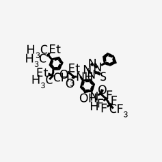 CCC(Oc1ccc(C(C)(C)CC)cc1C(C)(C)CC)C(=O)Nc1cc(O)c(NC(=O)C(F)(F)C(F)(F)C(F)(F)F)cc1-n1nnn(-c2ccccc2)c1=S